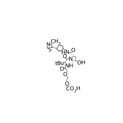 Cc1ncsc1-c1ccc(CNC(=O)[C@@H]2C[C@@H](O)CN2C(=O)C(NC(=O)COCCOCC(=O)O)C(C)(C)C)cc1